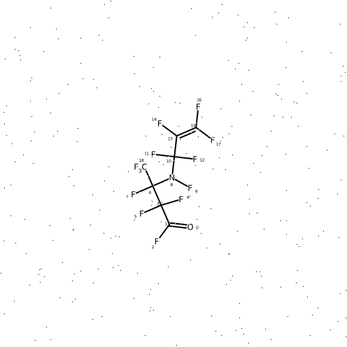 O=C(F)C(F)(F)C(F)(N(F)C(F)(F)C(F)=C(F)F)C(F)(F)F